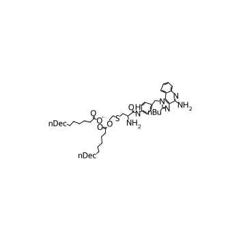 CCCCCCCCCCCCCCCC(=O)OC[C@H](CSCC(N)C(=O)Nc1ccc(Cn2c(CCCC)nc3c(N)nc4ccccc4c32)cc1)OC(=O)CCCCCCCCCCCCCCC